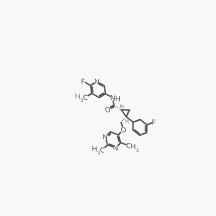 Cc1ncc(OC[C@@]2(C3C=CC=C(F)C3)C[C@H]2C(=O)Nc2cnc(F)c(C)c2)c(C)n1